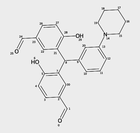 O=Cc1ccc(O)c(C(c2cccc(N3CCCCC3)c2)c2cc(C=O)ccc2O)c1